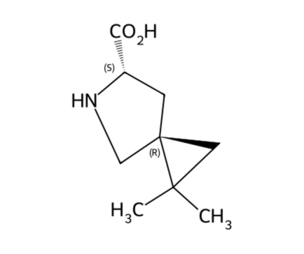 CC1(C)C[C@]12CN[C@H](C(=O)O)C2